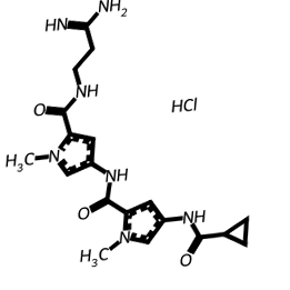 Cl.Cn1cc(NC(=O)c2cc(NC(=O)C3CC3)cn2C)cc1C(=O)NCCC(=N)N